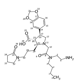 CCCCN(CCN)C(=O)CN1C[C@H](c2ccc3c(c2)OCO3)[C@@H](C(=O)O)[C@@H]1CCCN1CCCC1=O